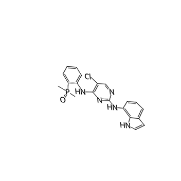 CP(C)(=O)c1ccccc1Nc1nc(Nc2cccc3cc[nH]c23)ncc1Cl